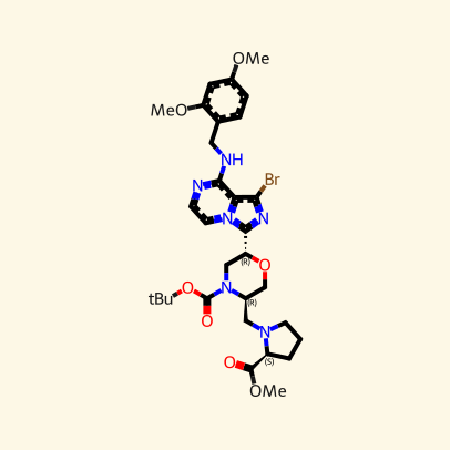 COC(=O)[C@@H]1CCCN1C[C@@H]1CO[C@@H](c2nc(Br)c3c(NCc4ccc(OC)cc4OC)nccn23)CN1C(=O)OC(C)(C)C